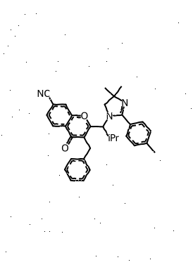 Cc1ccc(C2=NC(C)(C)CN2C(c2oc3cc(C#N)ccc3c(=O)c2Cc2ccccc2)C(C)C)cc1